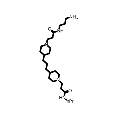 CCCNC(=O)CCN1CCC(CCCC2CCN(CCC(=O)NCCCN)CC2)CC1